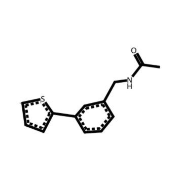 CC(=O)NCc1cccc(-c2cc[c]s2)c1